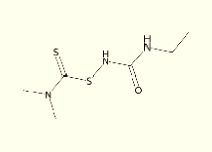 CCNC(=O)NSC(=S)N(C)C